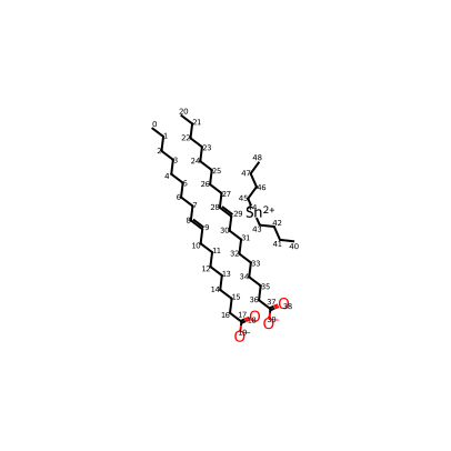 CCCCCCCCC=CCCCCCCCC(=O)[O-].CCCCCCCCC=CCCCCCCCC(=O)[O-].CCC[CH2][Sn+2][CH2]CCC